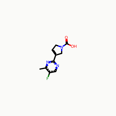 Cc1nc(C2=CCN(C(=O)O)C2)ncc1F